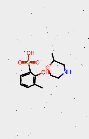 CC1CNCCO1.Cc1cccc(S(=O)(=O)O)c1O